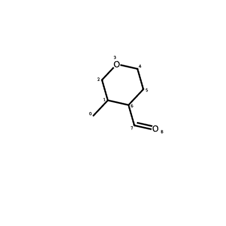 CC1COCCC1C=O